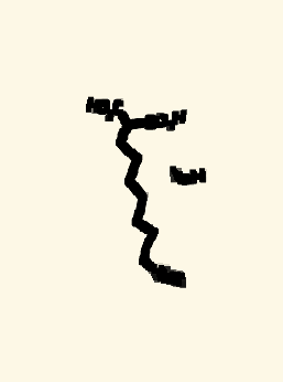 CCCCCCCCCCCCCCCCC(C(=O)O)S(=O)(=O)O.[NaH]